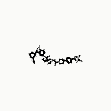 Cn1nc(-c2ccc(C3=CCN(C(=O)CN4CC[C@]5(CCN(c6ccc7[nH]nc(-c8cccc(C#N)c8)c7c6)C5=O)C4)CC3)cc2)oc1=O